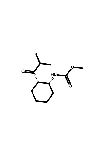 COC(=O)N[C@@H]1CCCC[C@@H]1C(=O)C(C)C